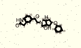 O=C1Cc2cc(C(=O)CN3C[C@H]4C[C@H](Oc5ccccc5)C[C@@]4(O)C3)ccc2N1